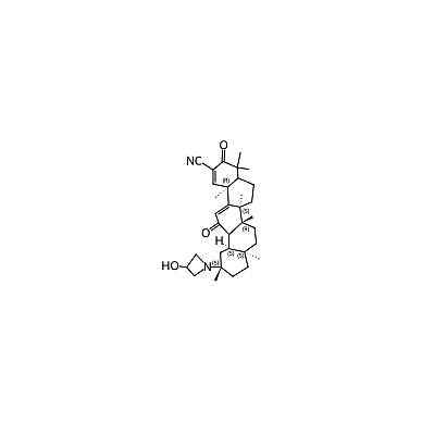 CC1(C)C(=O)C(C#N)=C[C@]2(C)C3=CC(=O)C4[C@@H]5C[C@@](C)(N6CC(O)C6)CC[C@]5(C)CC[C@@]4(C)[C@]3(C)CCC12